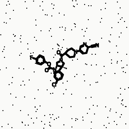 CN(C(=O)Oc1ccc(F)cc1)[C@@H]1CN(C(=O)C2CCN(C3=CCC(C#N)N=C3)CC2)C[C@@]1(C)c1ccc(Cl)cc1